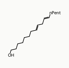 CCCCCC=CCC=CCCCCCCCO